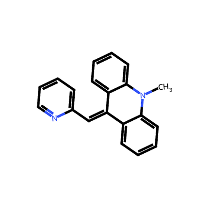 CN1c2ccccc2C(=Cc2ccccn2)c2ccccc21